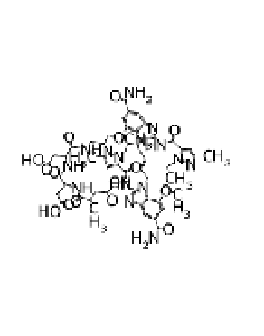 CCn1nc(C)cc1C(=O)Nc1nc2cc(C(N)=O)cc(OC)c2n1C/C=C/Cn1c(NC(=O)c2cc(C)nn2CC)nc2cc(C(N)=O)cc(OCCCNC(=O)[C@H](CC(=O)O)NC(=O)[C@H](CC(=O)O)NC(=O)[C@@H](C)CC(=O)O)c21